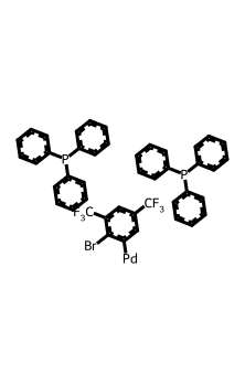 FC(F)(F)c1c[c]([Pd])c(Br)c(C(F)(F)F)c1.c1ccc(P(c2ccccc2)c2ccccc2)cc1.c1ccc(P(c2ccccc2)c2ccccc2)cc1